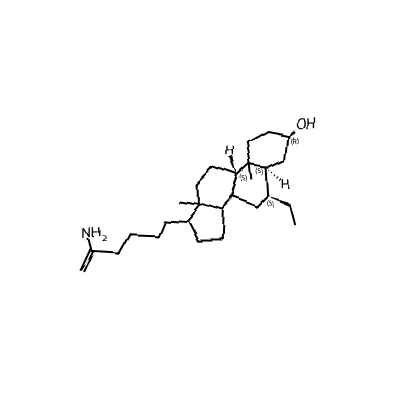 C=C(N)CCCCC1CCC2C3C[C@H](CC)[C@@H]4C[C@H](O)CCC4(C)[C@H]3CCC12C